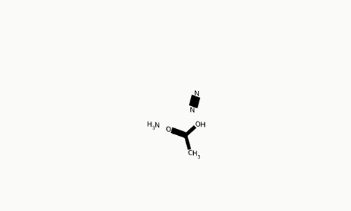 CC(=O)O.N.N#N